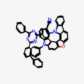 N#CC1=C(n2c3ccccc3c3ccc4oc5ccc6c(c7c(n6-c6ccccc6)C=CCC#C7)c5c4c32)CCC(c2nc(-c3ccccc3)nc(-c3cccc(-c4ccccc4)c3)n2)=C1